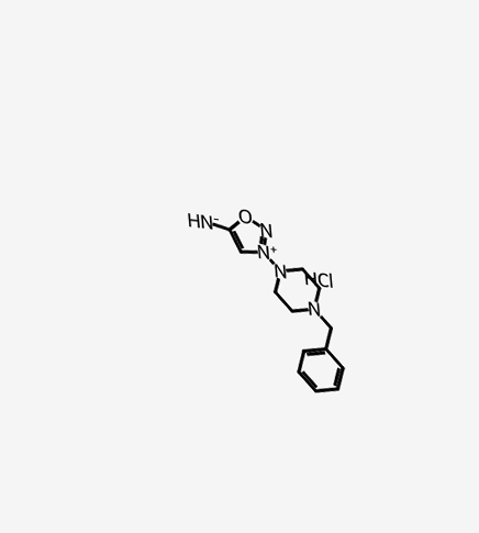 Cl.[NH-]c1c[n+](N2CCN(Cc3ccccc3)CC2)no1